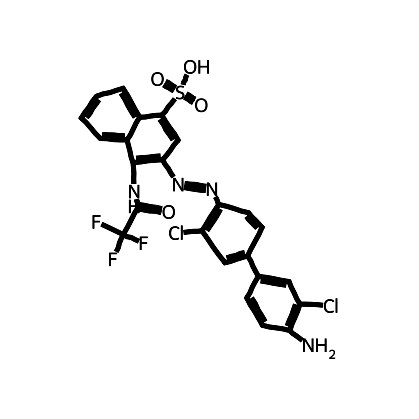 Nc1ccc(-c2ccc(/N=N/c3cc(S(=O)(=O)O)c4ccccc4c3NC(=O)C(F)(F)F)c(Cl)c2)cc1Cl